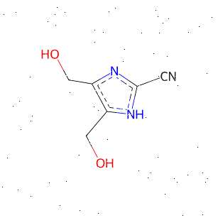 N#Cc1nc(CO)c(CO)[nH]1